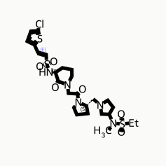 CCS(=O)(=O)N(C)C1CCN(C[C@@H]2CCCN2C(=O)CN2CCC[C@H](NS(=O)(=O)/C=C/c3ccc(Cl)s3)C2=O)C1